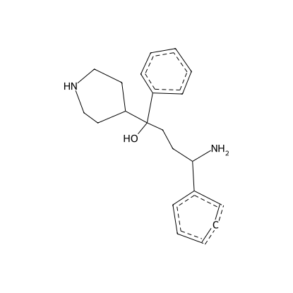 NC(CCC(O)(c1ccccc1)C1CCNCC1)c1ccccc1